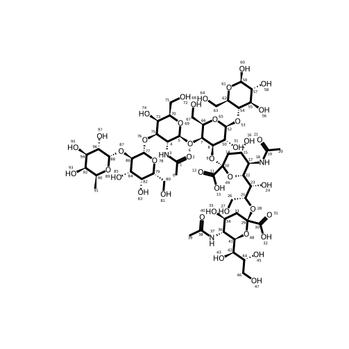 CC(=O)N[C@H]1[C@H](O[C@@H]2[C@H](O[C@]3(C(=O)O)C[C@H](O)[C@@H](NC(C)=O)[C@H]([C@H](O)[C@@H](CO)O[C@]4(C(=O)O)C[C@H](O)[C@@H](NC(C)=O)[C@H]([C@H](O)[C@H](O)CO)O4)O3)[C@@H](O)[C@H](O[C@H]3[C@H](O)[C@@H](O)[C@H](O)O[C@@H]3CO)O[C@@H]2CO)O[C@H](CO)[C@H](O)[C@@H]1O[C@@H]1O[C@H](CO)[C@H](O)[C@H](O)[C@H]1O[C@@H]1O[C@@H](C)[C@@H](O)[C@@H](O)[C@@H]1O